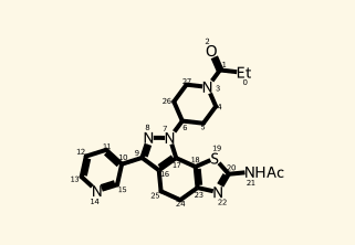 CCC(=O)N1CCC(n2nc(-c3cccnc3)c3c2-c2sc(NC(C)=O)nc2CC3)CC1